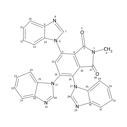 CN1C(=O)c2c(-n3cnc4ccccc43)cc(-n3cnc4ccccc43)c(-n3cnc4ccccc43)c2C1=O